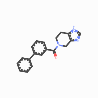 O=C(c1cccc(-c2ccccc2)c1)N1CCc2[nH]cnc2C1